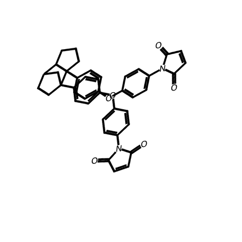 O=C1C=CC(=O)N1c1ccc(Oc2ccc(C34CCC(C3)C3CCCC34c3ccc(Oc4ccc(N5C(=O)C=CC5=O)cc4)cc3)cc2)cc1